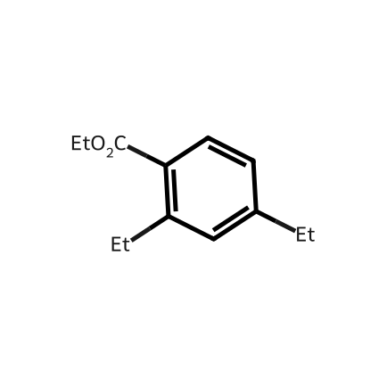 CCOC(=O)c1ccc(CC)cc1CC